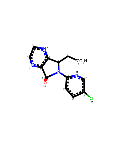 O=C(O)CC1c2nccnc2C(=O)N1c1ccc(Cl)cn1